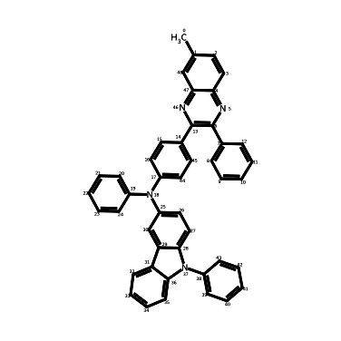 Cc1ccc2nc(-c3ccccc3)c(-c3ccc(N(c4ccccc4)c4ccc5c(c4)c4ccccc4n5-c4ccccc4)cc3)nc2c1